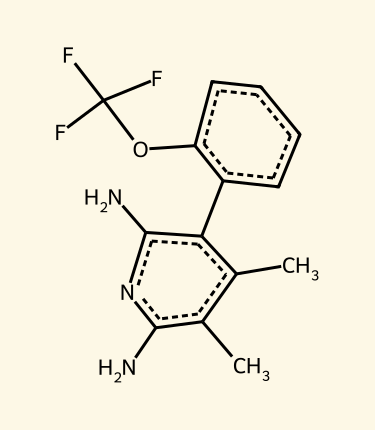 Cc1c(N)nc(N)c(-c2ccccc2OC(F)(F)F)c1C